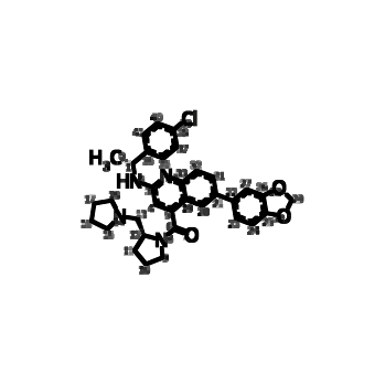 C[C@@H](Nc1cc(C(=O)N2CCC[C@H]2CN2CCCC2)c2cc(-c3ccc4c(c3)OCO4)ccc2n1)c1ccc(Cl)cc1